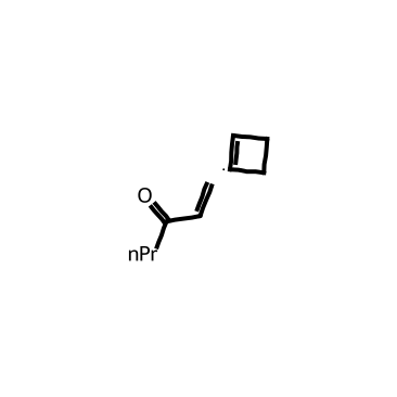 [CH2]CCC(=O)C=C.[C]1=CCC1